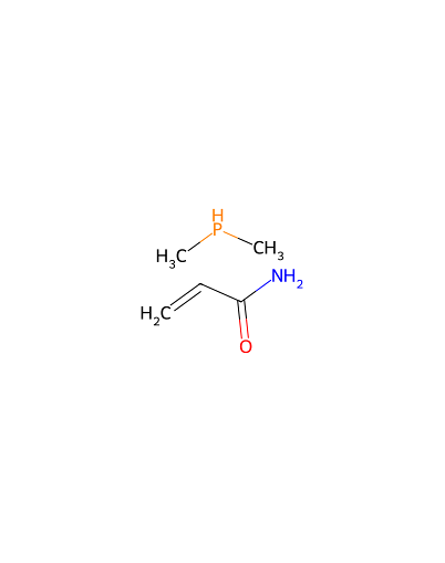 C=CC(N)=O.CPC